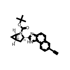 C#Cc1ccc2c(ccc3nc([C@@H]4C[C@H]5C[C@H]5N4C(=O)OC(C)(C)C)[nH]c32)c1